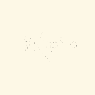 CC(C)OC(=O)CCc1ccccc1OP(=O)(NC(C)C(=O)OC(C)C)OC[C@H]1O[C@@H](n2ccc(NOCc3ccccc3)nc2=O)[C@]2(C)OC(=O)O[C@H]12